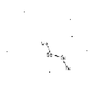 [Mo][Se][Se][Re]